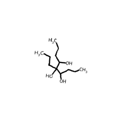 CCCC(O)C(O)(CCC)C(O)CCC